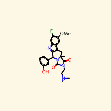 COc1cc2c3c([nH]c2cc1F)C(c1cccc(O)c1)N1C(=O)N(CCN(C)C)C(=O)C1(C)C3